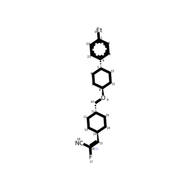 CCc1ccc([C@H]2CC[C@H](OC[C@H]3CC[C@H](/C=C(/F)C#N)CC3)CC2)cc1